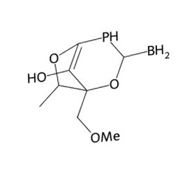 BC1OC2(COC)C(O)=C(OC2C)P1